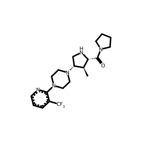 C[C@@H]1[C@@H](C(=O)N2CCCC2)NC[C@H]1N1CCN(c2ncccc2C(F)(F)F)CC1